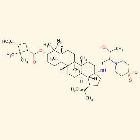 C=C(C)[C@@H]1CC[C@]2(NCC(C(C)O)N3CCS(=O)(=O)CC3)CC[C@]3(C)[C@H](CC[C@@H]4[C@@]5(C)CC[C@H](OC(=O)[C@H]6C[C@@H](C(=O)O)C6(C)C)C(C)(C)[C@@H]5CC[C@]43C)[C@@H]12